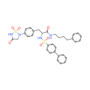 O=C1CN(c2ccc(CC(NS(=O)(=O)c3ccc(-c4ccccc4)cc3)C(=O)NCCCCc3ccccc3)cc2)S(=O)(=O)N1